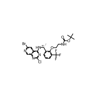 C[C@@H](Nc1nc(Cl)nc2cnc(Br)cc12)c1cccc(C(F)(F)F)c1OCCNC(=O)OC(C)(C)C